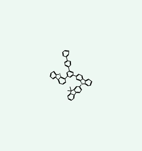 CC1(C)c2ccccc2-c2ccc(-n3c4ccccc4c4ccc(-c5cc(-c6ccc(-c7ccccc7)cc6)cc(-c6cccc7c6sc6ccccc67)c5)cc43)cc21